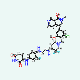 COc1cc(-c2cn(C)c(=O)c3cnccc23)cc(Cl)c1CN1CC[C@@H](NCCNc2ccc(N[C@H]3CCC(=O)NC3=O)cc2F)C(F)(F)C1